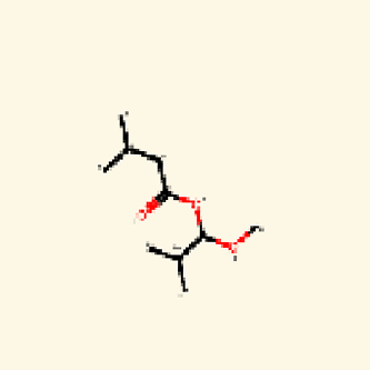 COC(OC(=O)CC(C)C)C(C)C